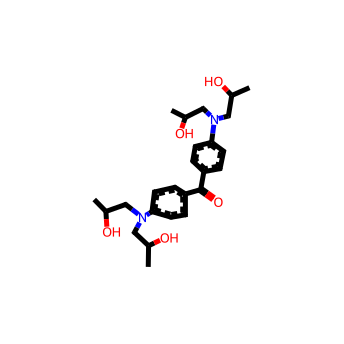 CC(O)CN(CC(C)O)c1ccc(C(=O)c2ccc(N(CC(C)O)CC(C)O)cc2)cc1